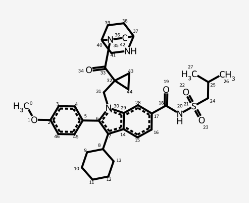 COc1ccc(-c2c(C3CCCCC3)c3ccc(C(=O)NS(=O)(=O)CC(C)C)cc3n2CC2(C(=O)N3CC4CCC3CN4)CC2)cc1